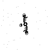 CCC1(COCc2ccc(COCC3(CC)COC3)cc2)COC1.COC